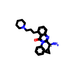 N[C@H](c1nc2cccc(CCCN3CCCCC3)c2c(=O)n1-c1ccccc1)C1CC1